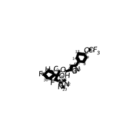 C[C@@H](OCc1cc(-c2ccc(OC(F)(F)F)cc2)no1)[C@](O)(Cn1cncn1)c1ccc(F)cc1F